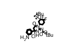 CC(C)(C)OC(=O)/N=C1\N[C@](C)(c2cccc(N)c2Cl)CC(=O)N1[C@@H]1CCC(F)(F)[C@H](O[Si](C)(C)C(C)(C)C)C1